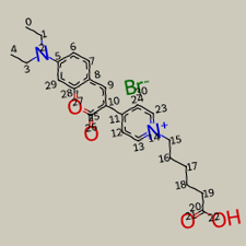 CCN(CC)c1ccc2cc(-c3cc[n+](CCCCCC(=O)O)cc3)c(=O)oc2c1.[Br-]